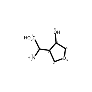 NC(C(=O)O)C1COCC1O